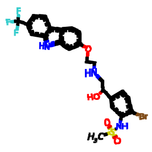 CS(=O)(=O)Nc1cc([C@@H](O)CNCCOc2ccc3c(c2)[nH]c2cc(C(F)(F)F)ccc23)ccc1Br